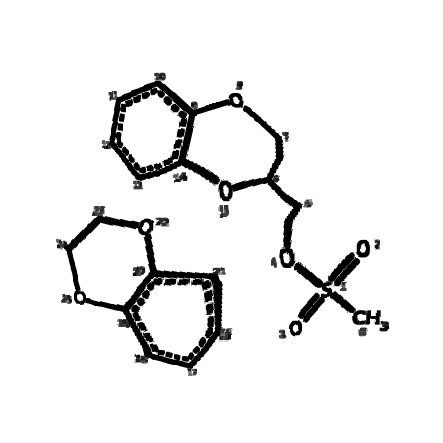 CS(=O)(=O)OCC1COc2ccccc2O1.c1ccc2c(c1)OCCO2